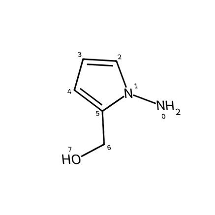 Nn1cccc1CO